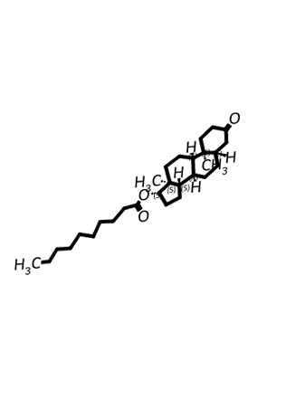 CCCCCCCCCC(=O)O[C@H]1CC[C@H]2[C@@H]3CC[C@H]4CC(=O)CC[C@]4(C)[C@H]3CC[C@]12C